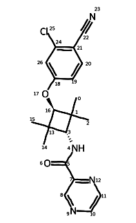 CC1(C)[C@H](NC(=O)c2cnccn2)C(C)(C)[C@H]1Oc1ccc(C#N)c(Cl)c1